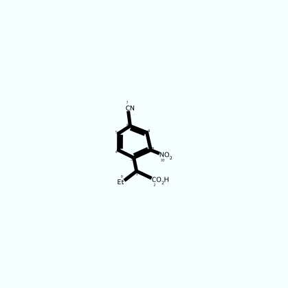 CCC(C(=O)O)c1ccc(C#N)cc1[N+](=O)[O-]